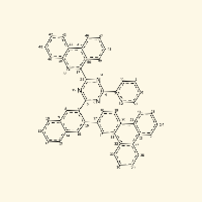 c1ccc(-c2nc(-c3cc4ccccc4cc3-c3ccc4c5ccccc5c5ccccc5c4c3)nc(-c3nc4ccccc4c4ccccc34)n2)cc1